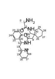 C[C@H](N)C(=O)NCC1(CC(=O)NC(Cc2ccccn2)c2ccccc2)CCCCC1